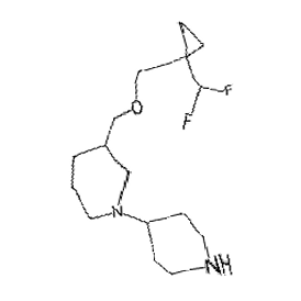 FC(F)C1(COCC2CCCN(C3CCNCC3)C2)CC1